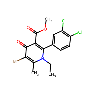 CCn1c(C)c(Br)c(=O)c(C(=O)OC)c1-c1ccc(Cl)c(Cl)c1